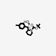 Cc1ccc([C@H](CO)C2CCCCN2C(=O)OC(C)(C)C)cc1